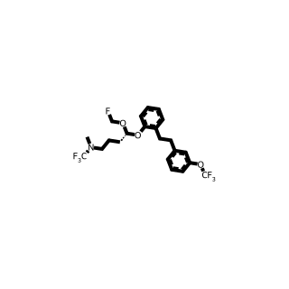 CN(CCC[C@H](OCF)Oc1ccccc1CCc1cccc(OC(F)(F)F)c1)C(F)(F)F